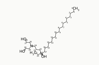 CCCCCCCCCCCCCCCCCC[N+](O)(CC)CCCN(CCO)CCO